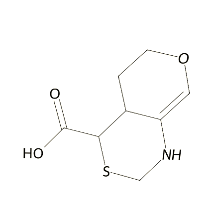 O=C(O)C1SCNC2=COCCC21